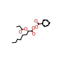 CCCCCCC(OC(=O)CC)C(=O)OOC(=O)c1ccccc1